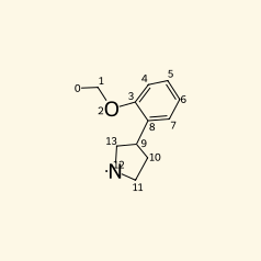 CCOc1ccccc1C1CC[N]C1